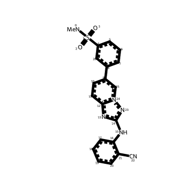 CNS(=O)(=O)c1cccc(-c2ccc3nc(Nc4ccccc4C#N)nn3c2)c1